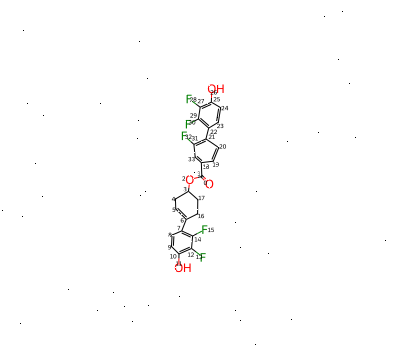 O=C(OC1CC=C(c2ccc(O)c(F)c2F)CC1)c1ccc(-c2ccc(O)c(F)c2F)c(F)c1